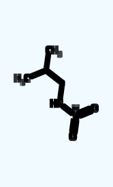 CC(C)CN[SH](=O)=O